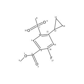 COC(=O)c1cc(S(C)(=O)=O)c(C2CC2)cc1F